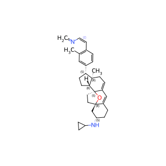 C=N/C=C\c1ccc([C@H]2CC[C@@H]3[C@]2(C)CC=C2C=C4CC[C@H](NC5CC5)C[C@]45CC[C@@]23O5)cc1C